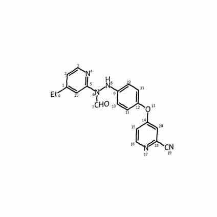 CCc1ccnc(N(C=O)Nc2ccc(Oc3ccnc(C#N)c3)cc2)c1